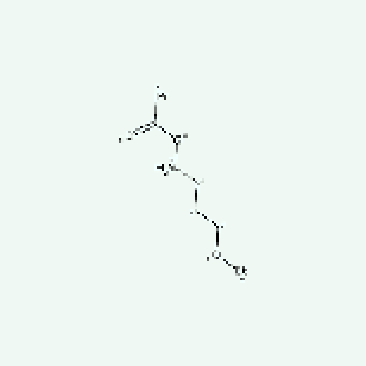 CCOCCC[SiH2]OC(=O)C(C)C